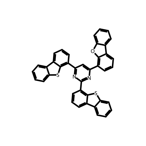 c1ccc2c(c1)oc1c(-c3cc(-c4cccc5c4sc4ccccc45)nc(-c4cccc5c4sc4ccccc45)n3)cccc12